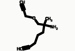 C#CCCCC(C)(N)COCC#C